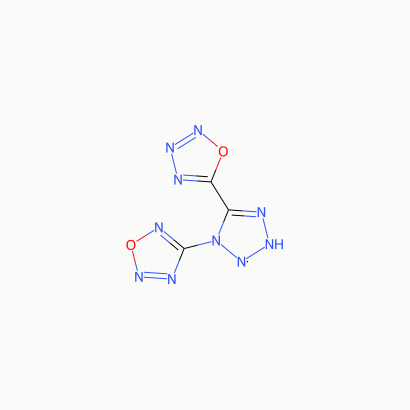 [N]1NN=C(c2nnno2)N1c1nnon1